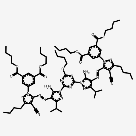 CCCCOC(=O)c1cc(C(=O)OCCCC)cc(-n2nc(CCCC)c(C#N)c2N=Nc2c(C(C)C)nn(-c3nc(OCCCC)nc(-n4nc(C(C)C)c(N=Nc5c(C#N)c(CCCC)nn5-c5cc(C(=O)OCCCC)cc(C(=O)OCCCC)c5)c4N)n3)c2N)c1